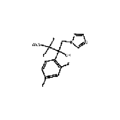 CSC(F)(F)C(O)(Cn1cncn1)c1ccc(F)cc1F